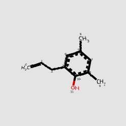 C=CCc1cc(C)cc(C)c1O